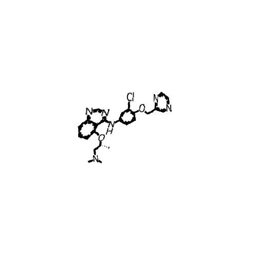 C[C@H](CN(C)C)Oc1cccc2ncnc(Nc3ccc(OCc4cnccn4)c(Cl)c3)c12